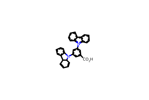 O=C(O)c1cc(N2c3ccccc3C3C=CC=CC32)cc(-n2c3ccccc3c3ccccc32)c1